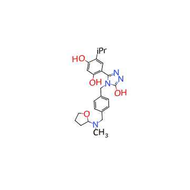 CC(C)c1cc(-c2nnc(O)n2Cc2ccc(CN(C)C3CCCO3)cc2)c(O)cc1O